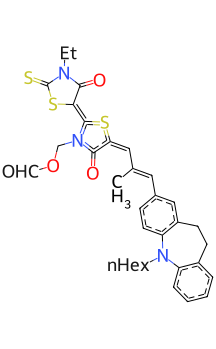 CCCCCCN1c2ccccc2CCc2cc(/C=C(C)/C=c3/s/c(=C4/SC(=S)N(CC)C4=O)n(COC=O)c3=O)ccc21